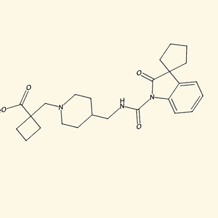 COC(=O)C1(CN2CCC(CNC(=O)N3C(=O)C4(CCCC4)c4ccccc43)CC2)CCC1